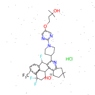 CC(C)(O)CCOc1cnc(N2CCC(c3nc4c(c(C5CCC(F)(F)CC5)c3C(F)c3ccc(C(F)(F)F)cc3)[C@@H](O)CC(C)(C)C4)CC2)nc1.Cl